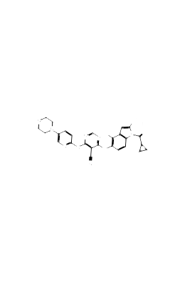 Cc1cc2c(F)c(Oc3ncnc(Nc4ccc(N5CCNCC5)cn4)c3C#N)ccc2n1C(=O)C1CC1